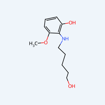 COc1cccc(O)c1NCCCCCO